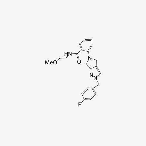 COCCNC(=O)c1ccccc1N1Cc2cn(Cc3ccc(F)cc3)nc2C1